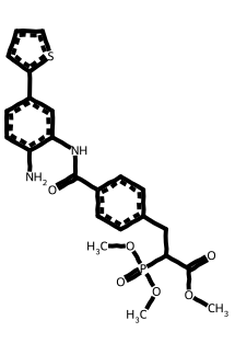 COC(=O)C(Cc1ccc(C(=O)Nc2cc(-c3cccs3)ccc2N)cc1)P(=O)(OC)OC